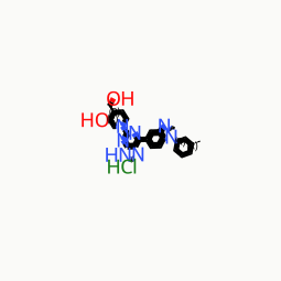 C[C@@H]1CCC[C@@H](n2cnc3cc(-c4nc(N5CC[C@H](CO)[C@@H](O)C5)nc5[nH]cnc45)ccc32)C1.Cl